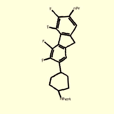 CCCCCC1CCC(c2cc3c(c(F)c2F)-c2c(cc(CCC)c(F)c2F)C3)CC1